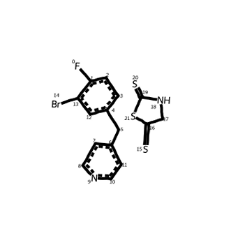 Fc1ccc(Cc2ccncc2)cc1Br.S=C1CNC(=S)S1